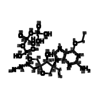 C=C[C@]1(n2cnc3c(OCC)nc(N)nc32)CO[C@](CN=[N+]=[N-])(COP(=O)(O)OP(=O)(O)OP(=O)(O)O)[C@H]1O